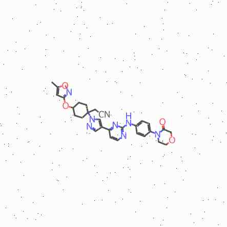 Cc1cc(OC2CCC(CC#N)(n3cc(-c4ccnc(Nc5ccc(N6CCOCC6=O)cc5)n4)cn3)CC2)no1